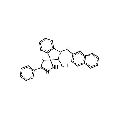 OC1N(Cc2ccc3ccccc3c2)c2ccccc2C12NN=C(c1ccccc1)S2